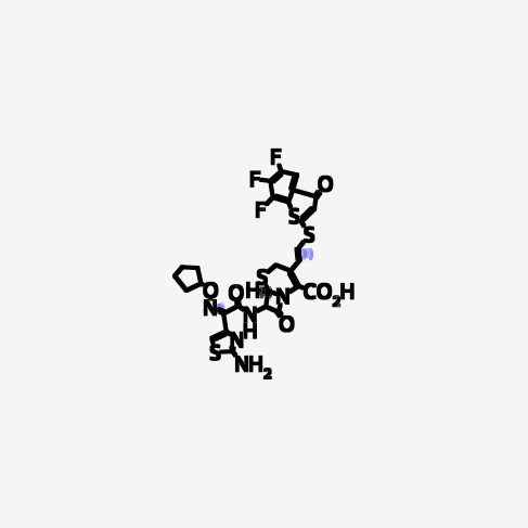 Nc1nc(/C(=N/OC2CCCC2)C(=O)NC2C(=O)N3C(C(=O)O)=C(/C=C/Sc4cc(=O)c5cc(F)c(F)c(F)c5s4)CS[C@H]23)cs1